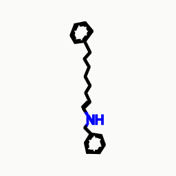 C(=CNCc1ccccc1)CCCCCCc1ccccc1